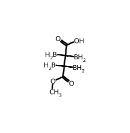 BC(B)(C(=O)O)C(B)(B)C(=O)OC